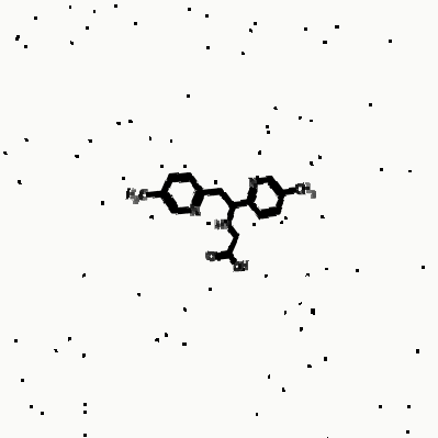 Cc1ccc(CC(NCC(=O)O)c2ccc(C)cn2)nc1